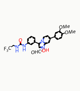 COc1ccc(-c2ccn3c(-c4cccc(NC(=O)NCC(F)(F)F)c4)cnc3c2)cc1OC.O=CO